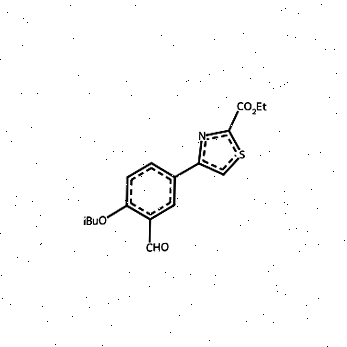 CCOC(=O)c1nc(-c2ccc(OCC(C)C)c(C=O)c2)cs1